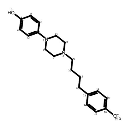 Oc1ccc(N2CCN(CCCCc3ccc(C(F)(F)F)cc3)CC2)cc1